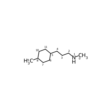 CNCCCC1CCC(C)CC1